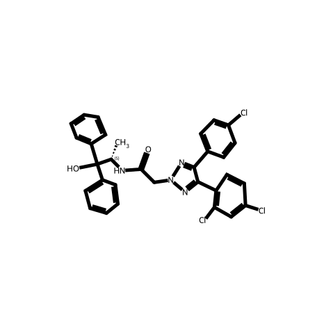 C[C@H](NC(=O)Cn1nc(-c2ccc(Cl)cc2)c(-c2ccc(Cl)cc2Cl)n1)C(O)(c1ccccc1)c1ccccc1